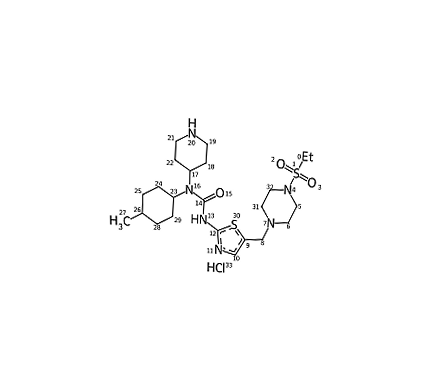 CCS(=O)(=O)N1CCN(Cc2cnc(NC(=O)N(C3CCNCC3)C3CCC(C)CC3)s2)CC1.Cl